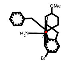 COC1CCC2(CC1)Cc1ccc(Br)cc1C21N=C(N)N(Cc2ccccc2)C1=O